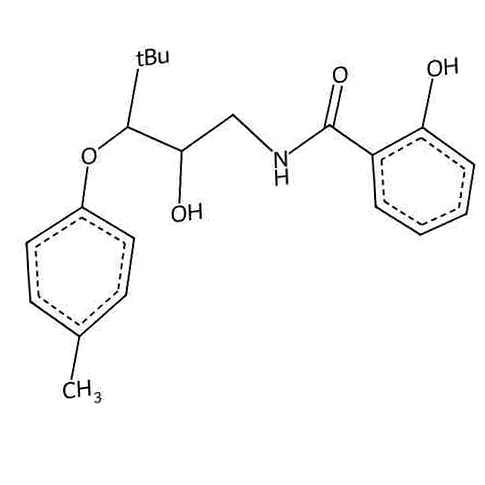 Cc1ccc(OC(C(O)CNC(=O)c2ccccc2O)C(C)(C)C)cc1